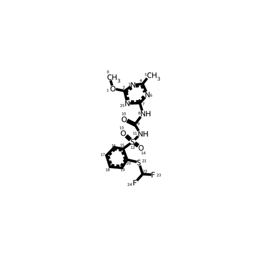 COc1nc(C)nc(NC(=O)NS(=O)(=O)c2ccccc2SC(F)F)n1